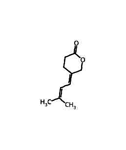 CC(C)=C/C=C1\CCC(=O)OC1